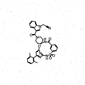 Cc1cccc(C)c1-c1cc2nc(n1)NS(=O)(=O)c1cccc(c1)C(=O)NC1(CCN(C(=O)c3cn(CC#N)c4ccccc34)CC1)O2